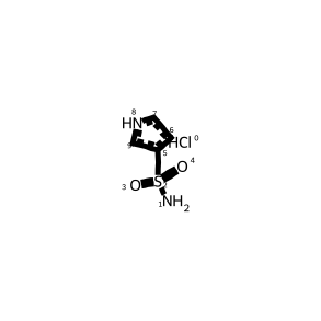 Cl.NS(=O)(=O)c1cc[nH]c1